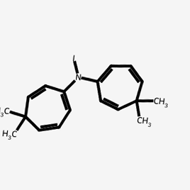 CC1(C)C=CC=C(N(I)C2=CC=CC(C)(C)C=C2)C=C1